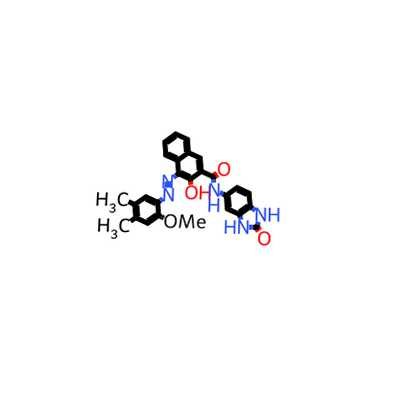 COc1cc(C)c(C)cc1/N=N/c1c(O)c(C(=O)Nc2ccc3[nH]c(=O)[nH]c3c2)cc2ccccc12